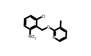 Cc1cccnc1OCc1c(Cl)cccc1[N+](=O)[O-]